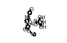 COc1cc(-n2ccc3nc(-c4ccc(Cl)cc4)sc3c2=O)ccc1OCCN1CCCC1.O=C(O)CC(O)(CC(=O)O)C(=O)O